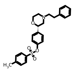 Cc1ccc(S(=O)(=O)Oc2ccc([C@H]3CN(CCc4ccccc4)CCO3)cc2)cc1